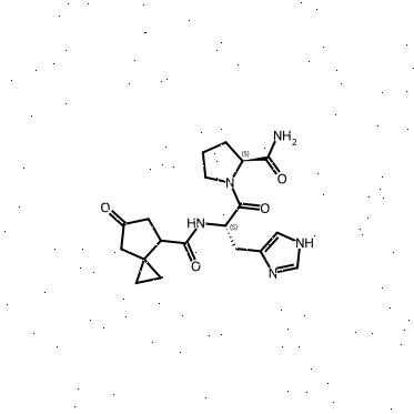 NC(=O)[C@@H]1CCCN1C(=O)[C@H](Cc1c[nH]cn1)NC(=O)C1CC(=O)CC12CC2